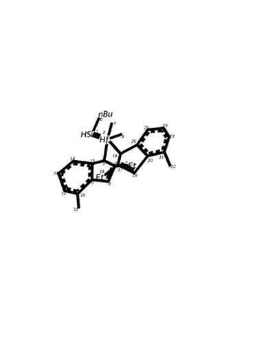 CCCC[SiH]=[Hf]([CH3])([CH3])([CH]1C(CC)=Cc2c(C)cccc21)[CH]1C(CC)=Cc2c(C)cccc21